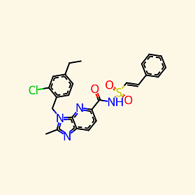 CCc1ccc(Cn2c(C)nc3ccc(C(=O)NS(=O)(=O)/C=C/c4ccccc4)nc32)c(Cl)c1